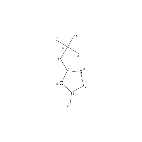 CC1CSC(CC(C)(C)C)O1